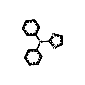 c1ccc(N(c2ccccc2)c2ncco2)cc1